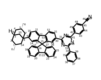 C[C@@H]1C[C@@H]2C[C@H](C)CC(c3ccc4c(c3)C3(c5ccccc5-c5ccccc53)c3cc(-c5nc(-c6ccccc6)nc(-c6ccc(C#N)cc6)n5)ccc3-4)(C1)C2